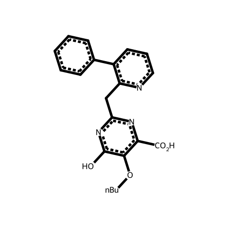 CCCCOc1c(O)nc(Cc2ncccc2-c2ccccc2)nc1C(=O)O